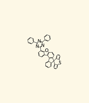 c1ccc(-c2nc(-c3ccccc3)nc(-c3cccc4c3oc3ccc5c(c34)-c3ccccc3C53c4ccccc4Sc4ccccc43)n2)cc1